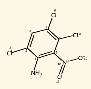 Nc1c(Cl)cc(Cl)c(Cl)c1[N+](=O)[O-]